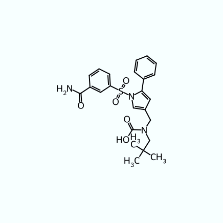 CC(C)(C)CN(Cc1cc(-c2ccccc2)n(S(=O)(=O)c2cccc(C(N)=O)c2)c1)C(=O)O